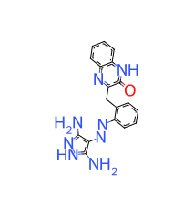 Nc1n[nH]c(N)c1N=Nc1ccccc1Cc1nc2ccccc2[nH]c1=O